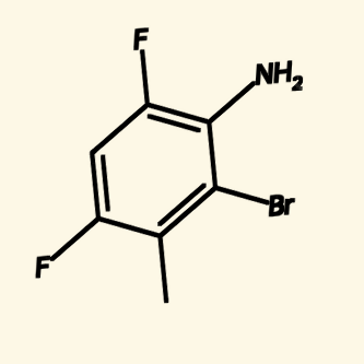 Cc1c(F)cc(F)c(N)c1Br